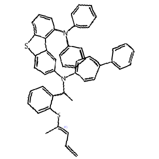 C=C/C=C(\C)Sc1ccccc1C(C)N(c1ccc(-c2ccccc2)cc1)c1ccc2sc3cccc(N(c4ccccc4)c4ccccc4)c3c2c1